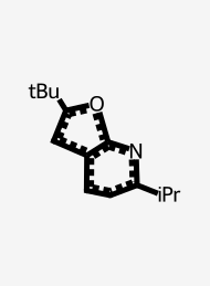 CC(C)c1ccc2cc(C(C)(C)C)oc2n1